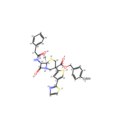 COc1ccc(COC(=O)C2(c3cc(-c4nccs4)cs3)CS[C@@H]3[C@H](NC(=O)Cc4ccccc4)C(=O)N3C2)cc1